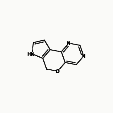 c1ncc2c(n1)-c1cc[nH]c1CO2